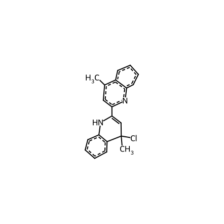 Cc1cc(C2=CC(C)(Cl)c3ccccc3N2)nc2ccccc12